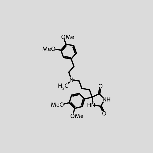 COc1ccc(CCN(C)CCCC2(c3ccc(OC)c(OC)c3)NC(=O)NC2=O)cc1OC